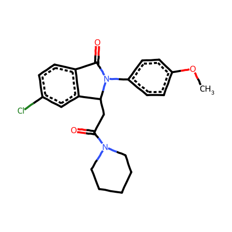 COc1ccc(N2C(=O)c3ccc(Cl)cc3C2CC(=O)N2CCCCC2)cc1